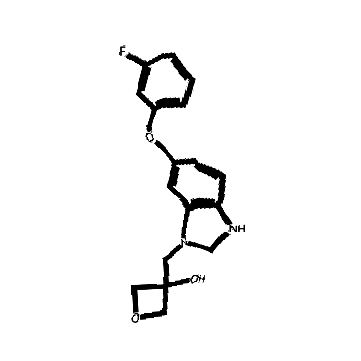 OC1(CN2CNc3ccc(Oc4cccc(F)c4)cc32)COC1